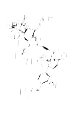 C=Cc1ccc(C2(CC)C=CC(=O)N(CC#CCOc3c(CCC)cc(C(O)(C(F)(F)F)C(F)(F)F)cc3CCC)C2=O)cc1O